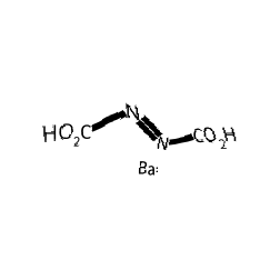 O=C(O)N=NC(=O)O.[Ba]